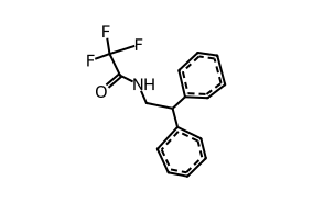 O=C(NCC(c1ccccc1)c1ccccc1)C(F)(F)F